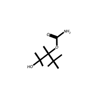 CC(C)(C)C(C)(OC(N)=O)C(C)(C)O